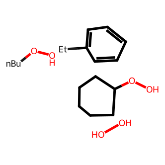 CCCCOO.CCc1ccccc1.OO.OOC1CCCCC1